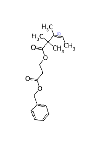 C/C=C(/C)C(C)(C)C(=O)OCCC(=O)OCc1ccccc1